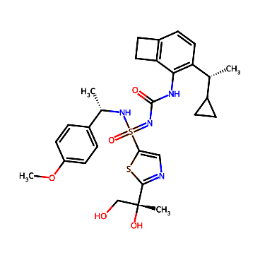 COc1ccc([C@H](C)NS(=O)(=NC(=O)Nc2c([C@H](C)C3CC3)ccc3c2CC3)c2cnc([C@](C)(O)CO)s2)cc1